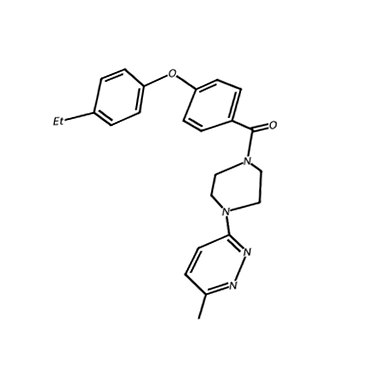 CCc1ccc(Oc2ccc(C(=O)N3CCN(c4ccc(C)nn4)CC3)cc2)cc1